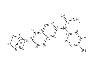 CCc1ccc(N(C(N)=O)c2ccc3nc(N4CC5CCC4CC5)ccc3c2)cn1